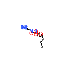 Cc1c(C)c2c(c(C)c1OC(=O)CCC(=O)NCCCCCN=[N+]=[N-])CCC(C)(CCC[C@H](C)CCC[C@H](C)CCCC(C)C)O2